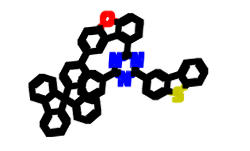 c1ccc(-c2nc(-c3ccc4sc5ccccc5c4c3)nc(-c3cccc4oc5ccc(-c6ccc7c(c6)-c6ccccc6C76c7ccccc7-c7ccccc76)cc5c34)n2)cc1